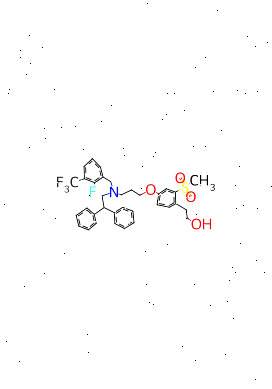 CS(=O)(=O)c1cc(OCCCN(Cc2cccc(C(F)(F)F)c2F)CC(c2ccccc2)c2ccccc2)ccc1CCO